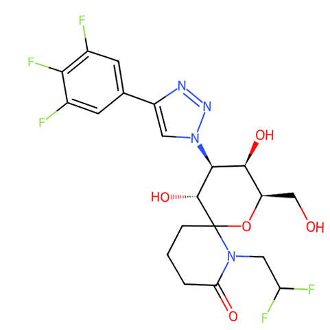 O=C1CCCC2(O[C@H](CO)[C@H](O)[C@H](n3cc(-c4cc(F)c(F)c(F)c4)nn3)[C@H]2O)N1CC(F)F